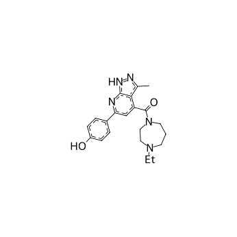 CCN1CCCN(C(=O)c2cc(-c3ccc(O)cc3)nc3[nH]nc(C)c23)CC1